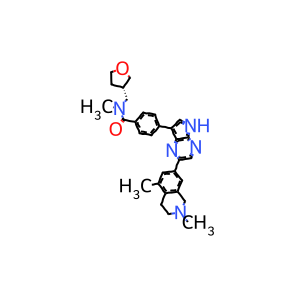 Cc1cc(-c2cnc3[nH]cc(-c4ccc(C(=O)N(C)C[C@@H]5CCOC5)cc4)c3n2)cc2c1CCN(C)C2